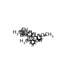 CCOC1=NC(c2nc3ncc(NS(=O)(=O)N(C)C)nc3n2-c2c(O)cccc2OC)=C=C=C1